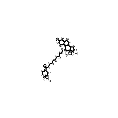 CN1CCN(C(=O)CCCCCCCCCC[C@H]2C[C@@]3(C)C(CC[C@@H]3O)C3CCC4=CC(=O)CCC4=C32)CC1